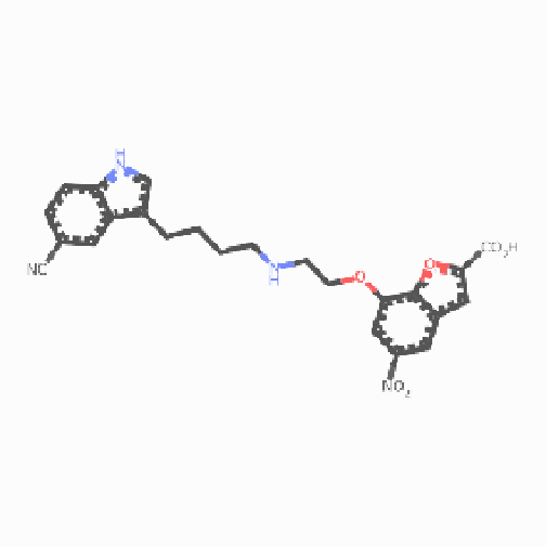 N#Cc1ccc2[nH]cc(CCCCNCCOc3cc([N+](=O)[O-])cc4cc(C(=O)O)oc34)c2c1